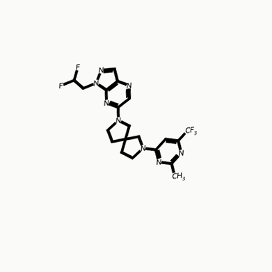 Cc1nc(N2CCC3(CCN(c4cnc5cnn(CC(F)F)c5n4)C3)C2)cc(C(F)(F)F)n1